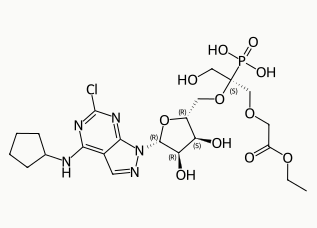 CCOC(=O)COC[C@@](CO)(OC[C@H]1O[C@@H](n2ncc3c(NC4CCCC4)nc(Cl)nc32)[C@H](O)[C@@H]1O)P(=O)(O)O